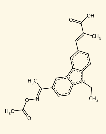 CCn1c2ccc(/C=C(\C)C(=O)O)cc2c2cc(/C(C)=N/OC(C)=O)ccc21